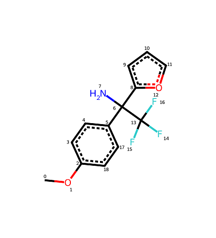 COc1ccc(C(N)(c2ccco2)C(F)(F)F)cc1